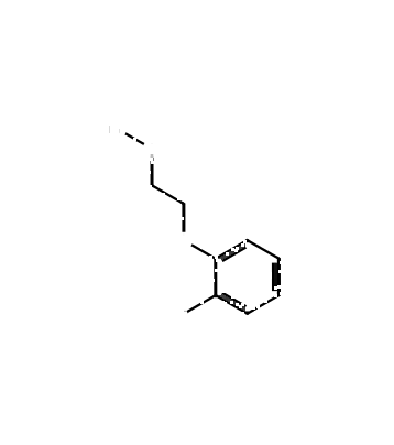 CCOCCOc1c[c]ccc1Cl